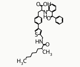 CCCCCCC(C)C(=O)NCc1cc(-c2ccc(CC(Nc3ccccc3C(=O)c3ccccc3)C(=O)O)cc2)cs1